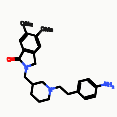 COc1cc2c(cc1OC)C(=O)N(CC1CCCN(CCc3ccc(N)cc3)C1)C2